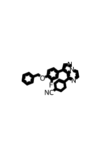 N#CC1CC=C(c2nccn3ncc(-c4ccc(OCc5ccccc5)c(F)c4)c23)CC1